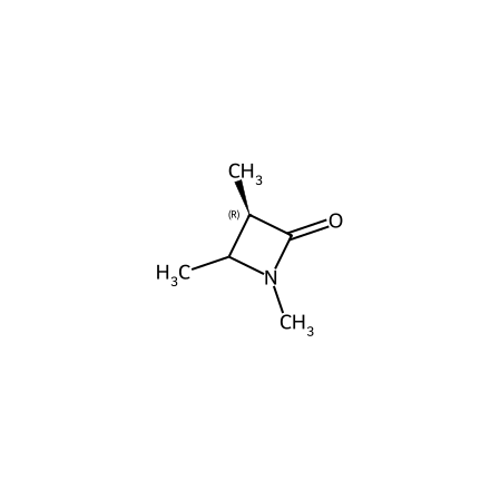 CC1[C@@H](C)C(=O)N1C